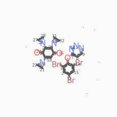 Brc1cc(Br)c(Oc2ccnnn2)c(Br)c1.O=C1C=C(N2CC2)C(=O)C(N2CC2)=C1N1CC1